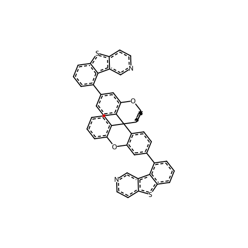 c1ccc2c(c1)Oc1cc(-c3cccc4sc5ccncc5c34)ccc1C21c2ccccc2Oc2cc(-c3cccc4sc5ccncc5c34)ccc21